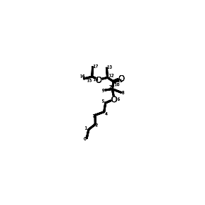 CCCCCCOC(C)(C)C(=O)C(C)OC(C)C